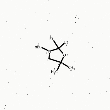 CCCCN1CC(C)(C)OC1(CC)CC